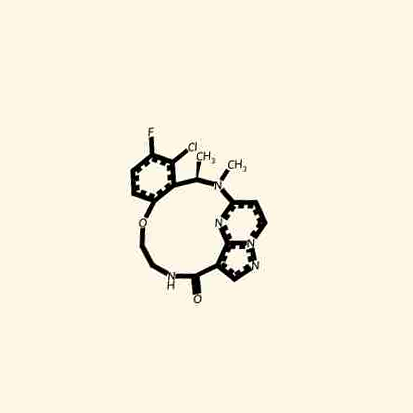 C[C@@H]1c2c(ccc(F)c2Cl)OCCNC(=O)c2cnn3ccc(nc23)N1C